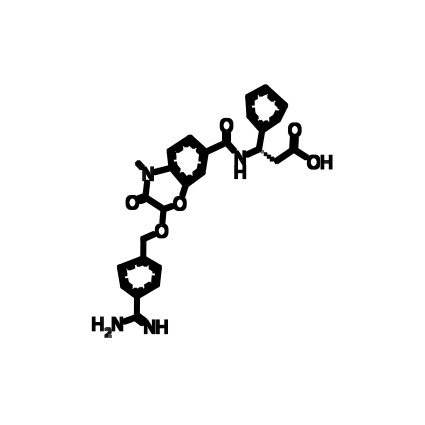 CN1C(=O)C(OCc2ccc(C(=N)N)cc2)Oc2cc(C(=O)N[C@@H](CC(=O)O)c3ccccc3)ccc21